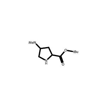 CNC1CNC(C(=O)OC(C)(C)C)C1